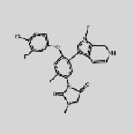 Cc1cc(Oc2ccc(Cl)c(F)c2)c(-c2cn(F)c3c2C=CNC3)cc1N1C(=O)CN(C)C1=O